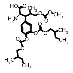 CCC(C)COC(=O)Oc1ccc(C(C(C)COC(=O)OC)[C@H](N)C(=O)O)cc1OC(=O)OCC(C)CC